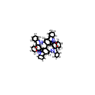 C1=CCC(n2c3ccccc3c3cc(-n4c5ccccc5c5ccccc54)c(-c4cc5c(cc4-n4c6ccccc6c6ccccc64)c4ccccc4n5-c4ccccc4)cc32)C=C1